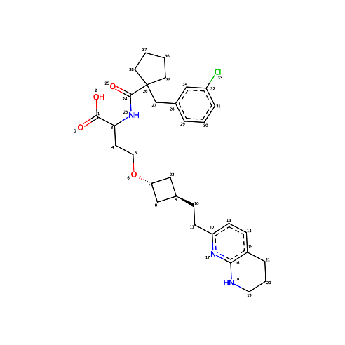 O=C(O)C(CCO[C@H]1C[C@H](CCc2ccc3c(n2)NCCC3)C1)NC(=O)C1(Cc2cccc(Cl)c2)CCCC1